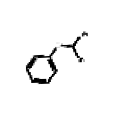 [CH2]CCC(Oc1ccccc1)C(C)C